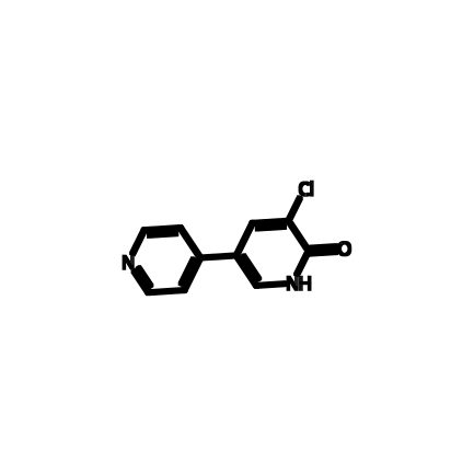 O=c1[nH]cc(-c2ccncc2)cc1Cl